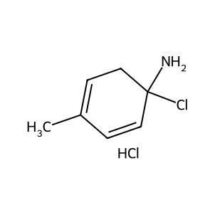 CC1=CCC(N)(Cl)C=C1.Cl